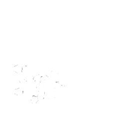 CCCCCCCCCCCCCCCCCC1OCC(COC(=O)O[C@@H](C(=O)O[C@H]2C[C@@]3(O)[C@@H](OC(=O)c4ccccc4)[C@@H]4[C@]5(OC(C)=O)CO[C@@H]5C[C@H](O)[C@@]4(C)C(=O)[C@H](O)C(=C2C)C3(C)C)[C@@H](NC(=O)c2ccccc2)c2ccccc2)O1